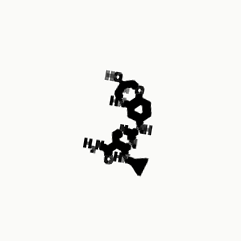 NC(=O)c1cnc(Nc2ccc3c(c2)NC[C@H](O)CO3)nc1NC1CC1